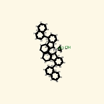 C1=C(C2CCCCC2)[CH]([Hf]2([CH]3C(C4CCCCC4)=Cc4c(-c5cccc6ccccc56)cccc43)[CH2][CH2]2)c2cccc(-c3cccc4ccccc34)c21.Cl.Cl